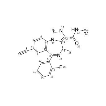 C#Cc1ccc2c(c1)C(c1ccccc1F)=NC(C)c1c(C(=O)NCC)ncn1-2